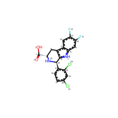 O=C(O)[C@@H]1Cc2c([nH]c3cc(F)c(F)cc23)[C@@H](c2ccc(Cl)cc2Cl)N1